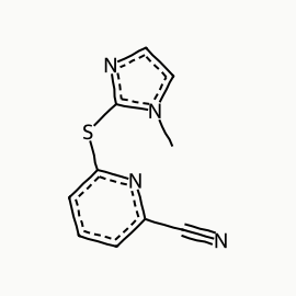 Cn1ccnc1Sc1cccc(C#N)n1